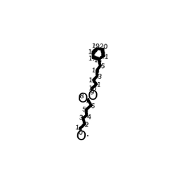 [O]CCCCCCC(=O)OCCCCCCc1ccccc1